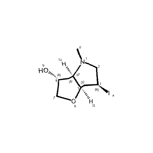 CN1C[C@@H](I)[C@H]2OC[C@H](O)[C@H]21